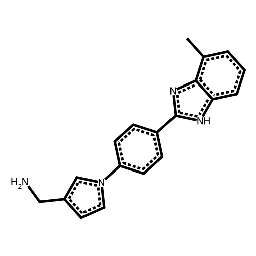 Cc1cccc2[nH]c(-c3ccc(-n4ccc(CN)c4)cc3)nc12